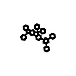 c1ccc(-c2nc(-c3ccccc3)nc(-c3ccc4c(c3)C(c3ccccc3)(c3ccccc3)c3cc5c6ccccc6n(-c6ccccc6)c5cc3-4)n2)cc1